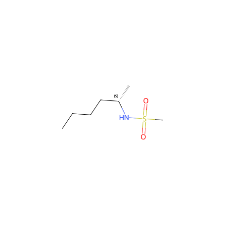 CCCC[C@H](C)NS(C)(=O)=O